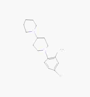 COc1cc(C(C)C)ccc1N1CCC(N2CCCCC2)CC1